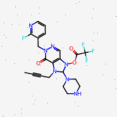 CC#CCN1c2c(cnn(Cc3cccnc3F)c2=O)N(OC(=O)C(F)(F)F)C1N1CCNCC1